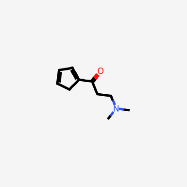 CN(C)CCC(=O)C1=CC=CC1